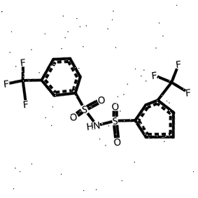 O=S(=O)(NS(=O)(=O)c1cccc(C(F)(F)F)c1)c1cccc(C(F)(F)F)c1